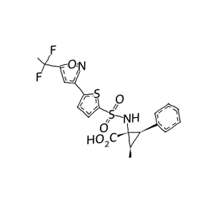 C[C@@H]1[C@H](c2ccccc2)[C@]1(NS(=O)(=O)c1ccc(-c2cc(C(C)(F)F)on2)s1)C(=O)O